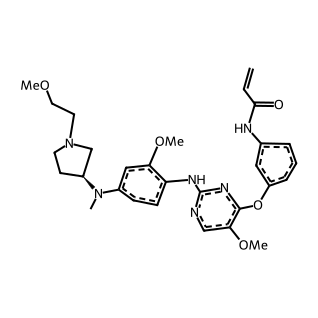 C=CC(=O)Nc1cccc(Oc2nc(Nc3ccc(N(C)[C@H]4CCN(CCOC)C4)cc3OC)ncc2OC)c1